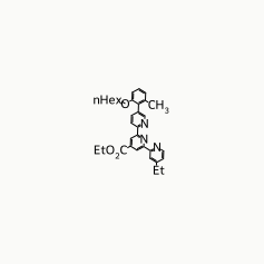 CCCCCCOc1cccc(C)c1-c1ccc(-c2cc(C(=O)OCC)cc(-c3cc(CC)ccn3)n2)nc1